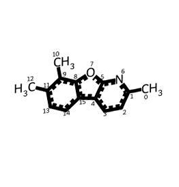 Cc1ccc2c(n1)oc1c(C)c(C)ccc12